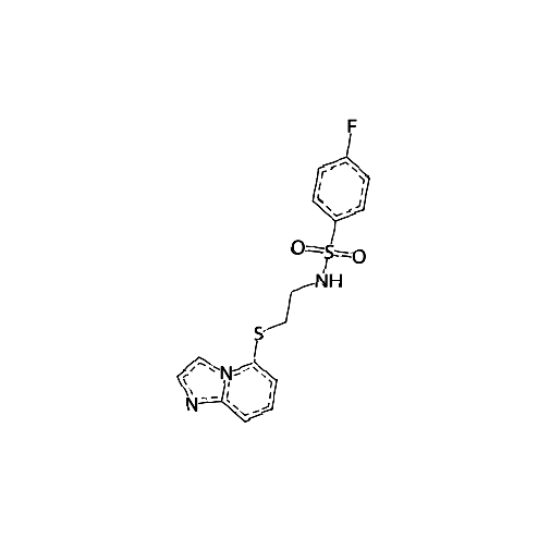 O=S(=O)(NCCSc1cccc2nccn12)c1ccc(F)cc1